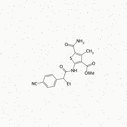 CCC(C(=O)Nc1sc(C(N)=O)c(C)c1C(=O)OC)c1ccc(C#N)cc1